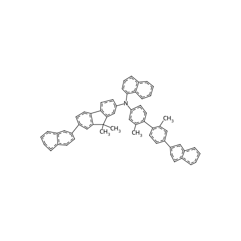 Cc1cc(-c2ccc3ccccc3c2)ccc1-c1ccc(N(c2ccc3c(c2)C(C)(C)c2cc(-c4ccc5ccccc5c4)ccc2-3)c2cccc3ccccc23)cc1C